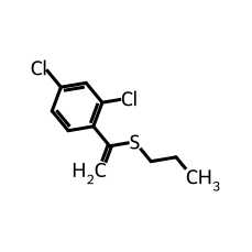 C=C(SCCC)c1ccc(Cl)cc1Cl